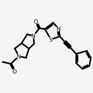 CC(=O)N1CC2CN(C(=O)c3cnc(C#Cc4ccccc4)s3)CC2C1